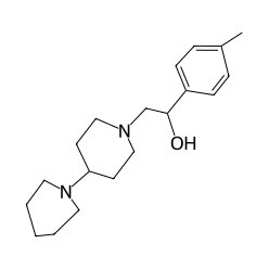 Cc1ccc(C(O)CN2CCC(N3CCCCC3)CC2)cc1